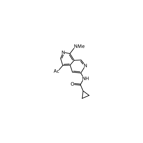 CNc1ncc(C(C)=O)c2cc(NC(=O)C3CC3)ncc12